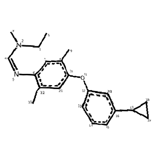 CCN(C)/C=N\c1cc(C)c(Oc2cccc(C3CC3)c2)cc1C